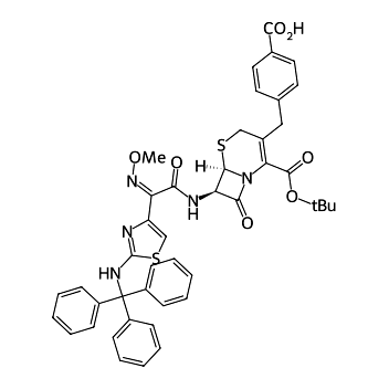 CO/N=C(\C(=O)N[C@@H]1C(=O)N2C(C(=O)OC(C)(C)C)=C(Cc3ccc(C(=O)O)cc3)CS[C@H]12)c1csc(NC(c2ccccc2)(c2ccccc2)c2ccccc2)n1